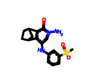 CS(=O)(=O)c1cccc(Nc2cn(N)c(=O)c3c2C2CCC3C2)c1